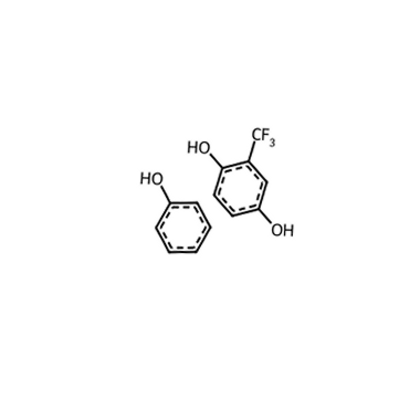 Oc1ccc(O)c(C(F)(F)F)c1.Oc1ccccc1